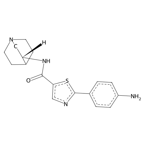 Nc1ccc(-c2ncc(C(=O)N[C@H]3CN4CCC3CC4)s2)cc1